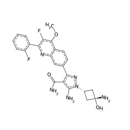 COc1c(F)c(-c2ccccc2F)nc2cc(-c3nn([C@H]4C[C@@](N)(O)C4)c(N)c3C(N)=O)ccc12